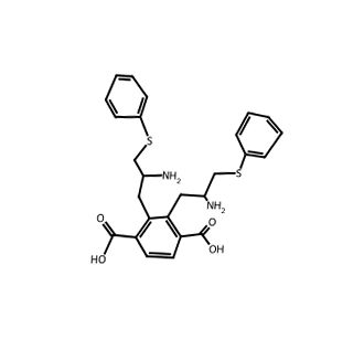 NC(CSc1ccccc1)Cc1c(C(=O)O)ccc(C(=O)O)c1CC(N)CSc1ccccc1